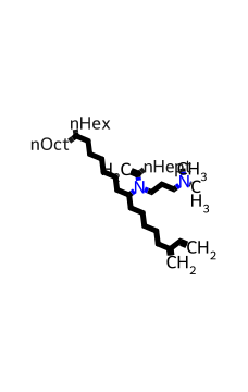 C=CC(=C)CCCCCC(CCCCCCC(CCCCCC)CCCCCCCC)N(CCCN(C)C)C(=C)CCCCCCC